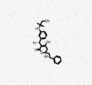 CCC[C@@]1(CCc2ccccc2)CC(O)=C([C@H](CC)c2cccc(NC(C)(C)CO)c2)C(=O)O1